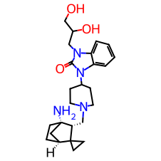 N[C@@]12CC[C@@H](C1)C1(CC1)[C@H]2CN1CCC(n2c(=O)n(CC(O)CO)c3ccccc32)CC1